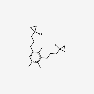 CCC1(CCCc2cc(C)c(C)c(CCCC3(I)CC3)c2C)CC1